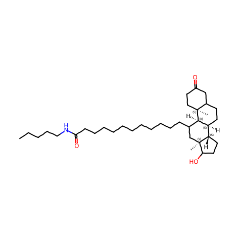 CCCCCNC(=O)CCCCCCCCCCCC1C[C@]2(C)C(O)CC[C@H]2[C@@H]2CCC3CC(=O)CC[C@]3(C)[C@H]12